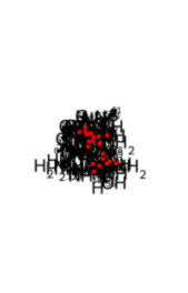 CC[C@H](C)[C@H](NC(=O)[C@H](CO)NC(=O)[C@H](CCC(N)=O)NC(=O)[C@H](CCCNC(=N)N)NC(=O)[C@H](CC(C)C)NC(=O)[C@H](CO)NC(=O)[C@H](CC(C)C)NC(=O)[C@@H](N)CCSC)C(=O)N[C@@H](CCCNC(=N)N)C(=O)N[C@@H](Cc1ccccc1)C(=O)N[C@@H](Cc1ccccc1)C(=O)N[C@@H](CCCCN)C(=O)N1CCC[C@H]1C(=O)N[C@@H](C)C(=O)N[C@H](C(=O)N[C@@H](CCCNC(=N)N)C(=O)O)[C@@H](C)O